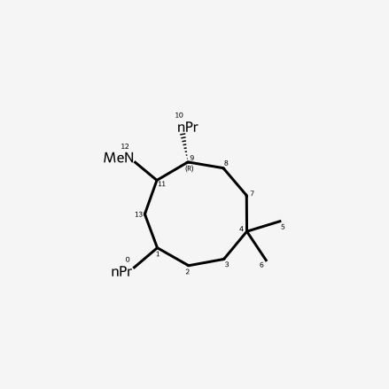 CCCC1CCC(C)(C)CC[C@@H](CCC)C(NC)C1